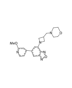 COc1cc(-c2cc(N3CC(CN4CCOCC4)C3)c3nonc3c2)ccn1